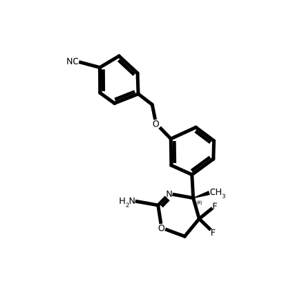 C[C@]1(c2cccc(OCc3ccc(C#N)cc3)c2)N=C(N)OCC1(F)F